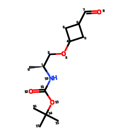 C[C@H](COC1CC(C=O)C1)NC(=O)OC(C)(C)C